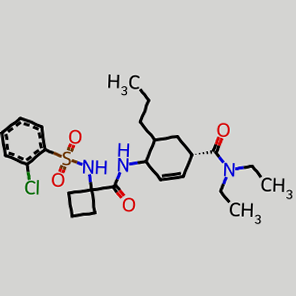 CCCC1C[C@H](C(=O)N(CC)CC)C=CC1NC(=O)C1(NS(=O)(=O)c2ccccc2Cl)CCC1